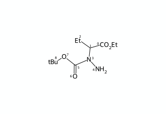 CCOC(=O)C(CC)N(N)C(=O)OC(C)(C)C